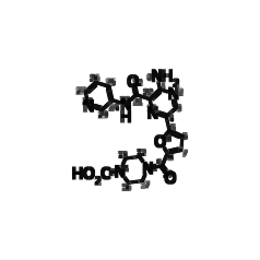 Nc1ncc(-c2ccc(C(=O)N3CCN(C(=O)O)CC3)o2)nc1C(=O)Nc1cccnc1